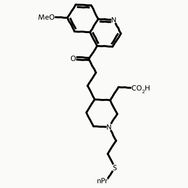 CCCSCCN1CCC(CCC(=O)c2ccnc3ccc(OC)cc23)C(CC(=O)O)C1